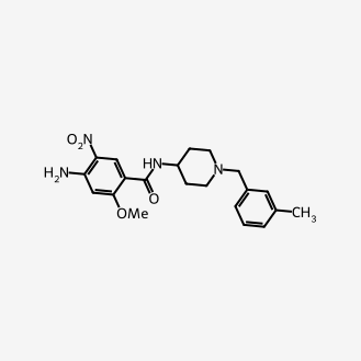 COc1cc(N)c([N+](=O)[O-])cc1C(=O)NC1CCN(Cc2cccc(C)c2)CC1